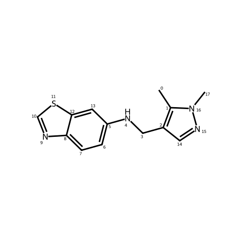 Cc1c(CNc2ccc3ncsc3c2)cnn1C